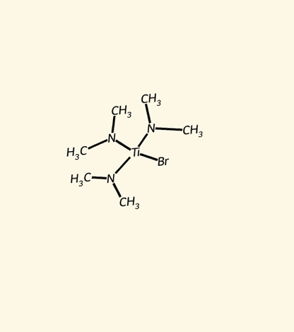 C[N](C)[Ti]([Br])([N](C)C)[N](C)C